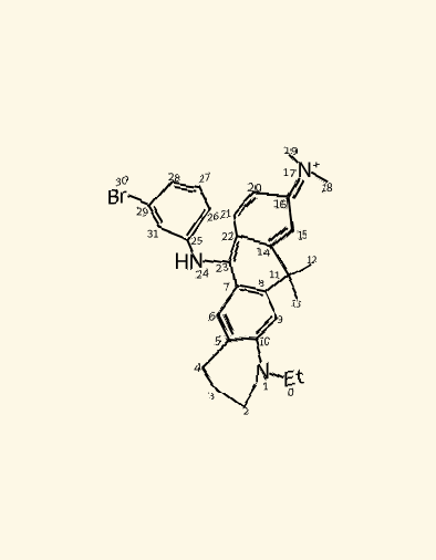 CCN1CCCc2cc3c(cc21)C(C)(C)C1=CC(=[N+](C)C)C=CC1=C3Nc1cccc(Br)c1